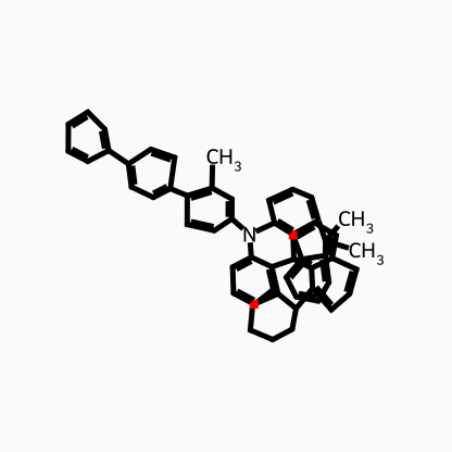 Cc1cc(N(c2ccccc2-c2cccc3cccc(C4CCCCC4)c23)c2cccc3c2-c2ccccc2C3(C)C)ccc1-c1ccc(-c2ccccc2)cc1